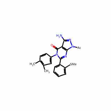 CSc1ccccc1-c1nc2c(c(N)nn2C(C)=O)c(=O)n1-c1ccc(C)c(C)c1